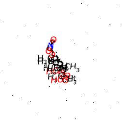 CCC(=O)OC(C1C[C@@H](C)[C@H]2C(O1)[C@H](O)[C@@]1(C)C3CC[C@H]4C(C)(C)C(OCC5CN(C6COC6)CCO5)CCC45CC35CCC21C)C(C)(C)O